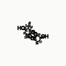 CC1CC2CC(O)(C1)CC(C)C21OOC2(CCCC(O)C2)OO1